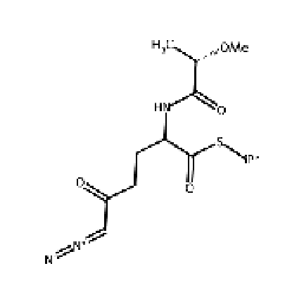 CO[C@@H](C)C(=O)NC(CCC(=O)C=[N+]=[N-])C(=O)SC(C)C